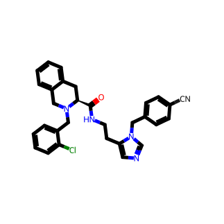 N#Cc1ccc(Cn2cncc2CCNC(=O)[C@@H]2Cc3ccccc3CN2Cc2ccccc2Cl)cc1